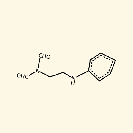 O=CN(C=O)CCNc1ccccc1